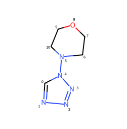 [c]1nnnn1N1CCOCC1